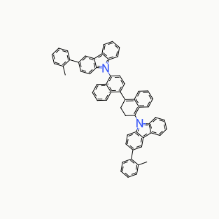 Cc1ccccc1-c1ccc2c(c1)c1ccccc1n2C1=c2ccccc2=C(c2ccc(-n3c4ccccc4c4cc(-c5ccccc5C)ccc43)c3ccccc23)CC1